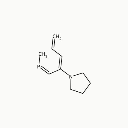 C=C/C=C(\C=P/C)N1CCCC1